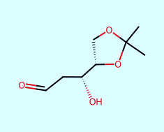 CC1(C)OC[C@@H]([C@H](O)CC=O)O1